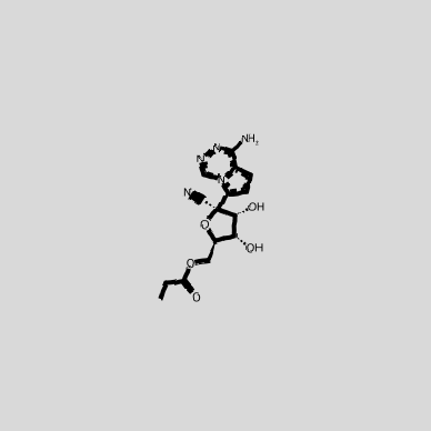 CCC(=O)OC[C@H]1O[C@@](C#N)(c2ccc3c(N)nncn23)[C@H](O)[C@@H]1O